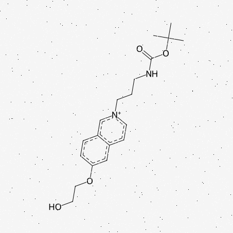 CC(C)(C)OC(=O)NCCC[n+]1ccc2cc(OCCO)ccc2c1